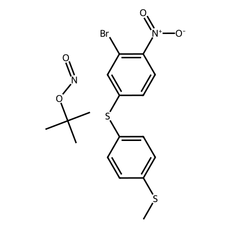 CC(C)(C)ON=O.CSc1ccc(Sc2ccc([N+](=O)[O-])c(Br)c2)cc1